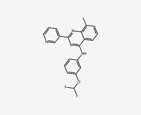 Cc1cccc2c(Nc3cccc(OC(F)F)c3)nc(-c3cccnc3)nc12